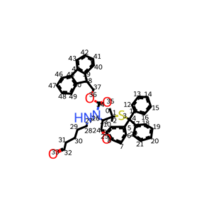 CC(C)(SC(c1ccccc1)(c1ccccc1)c1ccccc1)[C@@H](C=O)N(NCCCCC=O)C(=O)OCC1c2ccccc2-c2ccccc21